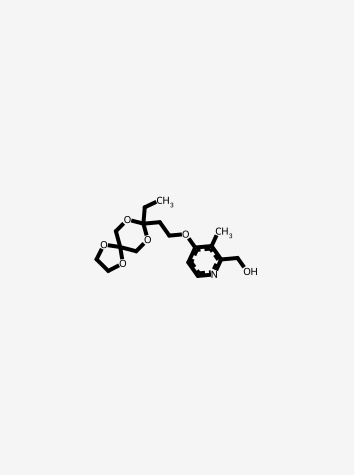 CCC1(CCOc2ccnc(CO)c2C)OCC2(CO1)OCCO2